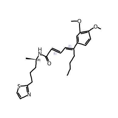 CCCC/C(=C\C=C\C(=O)N[C@H](C)CCCc1nccs1)c1ccc(OC)c(OC)c1